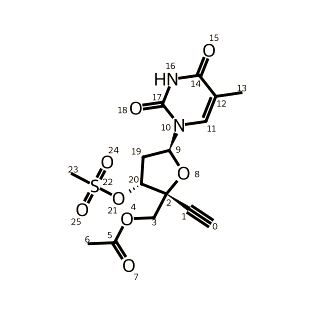 C#C[C@]1(COC(C)=O)O[C@H](n2cc(C)c(=O)[nH]c2=O)C[C@H]1OS(C)(=O)=O